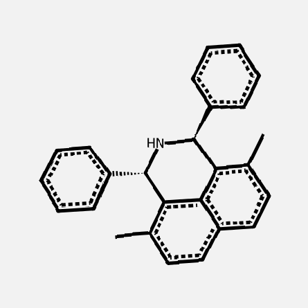 Cc1ccc2ccc(C)c3c2c1[C@H](c1ccccc1)N[C@H]3c1ccccc1